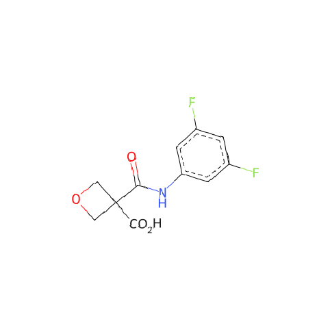 O=C(O)C1(C(=O)Nc2cc(F)cc(F)c2)COC1